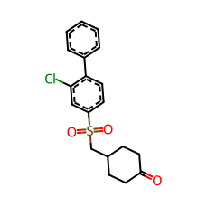 O=C1CCC(CS(=O)(=O)c2ccc(-c3ccccc3)c(Cl)c2)CC1